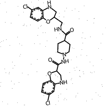 O=C(NCC1CNc2cc(Cl)ccc2O1)C1CCN(NC(=O)C2CNc3cc(Cl)ccc3O2)CC1